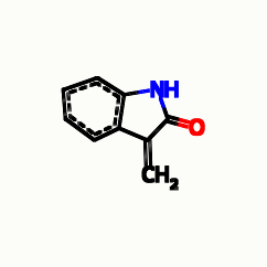 C=C1C(=O)Nc2ccccc21